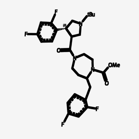 COC(=O)N1CCN(C(=O)C2CN(C(C)(C)C)C[C@H]2c2ccc(F)cc2F)CCC1Cc1ccc(F)cc1F